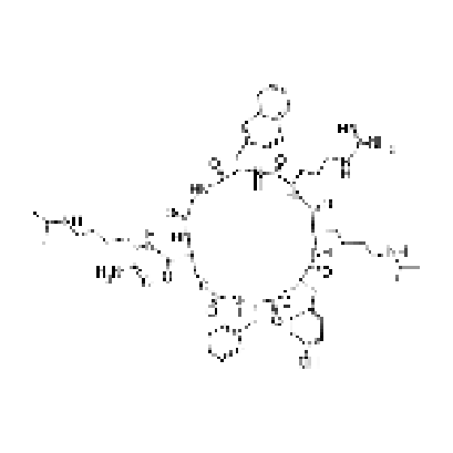 CC(C)NCCCC[C@H](NC(=O)[C@H]1CCC(=O)N[C@@H](Cc2ccccc2)C(=O)N[C@@H](Cc2ccc(O)cc2)C(=O)N[C@@H](CCCCNC(C)C)C(=O)N[C@H](CCCNC(=N)N)C(=O)N[C@@H](Cc2ccc3ccccc3c2)C(=O)NCC(=O)N1)C(N)=O